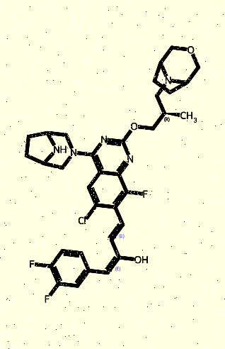 C[C@@H](COc1nc(N2CC3CCC(C2)N3)c2cc(Cl)c(/C=C/C(O)=C\c3ccc(F)c(F)c3)c(F)c2n1)CN1C2CCC1COC2